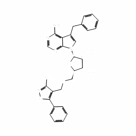 Cc1noc(-c2ccccc2)c1CSC[C@H]1O[C@@H](n2cc(Cc3ccccc3)c3c(N)ncnc32)[C@H](O)[C@@H]1O